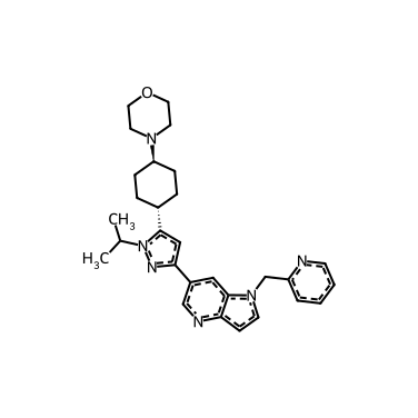 CC(C)n1nc(-c2cnc3ccn(Cc4ccccn4)c3c2)cc1[C@H]1CC[C@H](N2CCOCC2)CC1